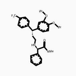 CNC(=O)[C@H](NCC[C@H](c1ccc(C(F)(F)F)cc1)c1ccc(OC(C)C)c(OC(C)C)c1)c1ccccc1